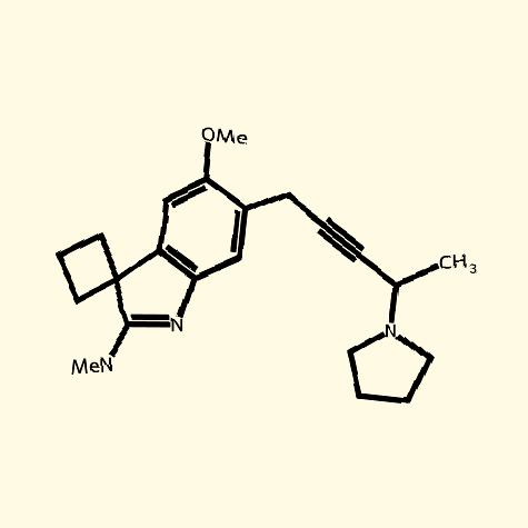 CNC1=Nc2cc(CC#CC(C)N3CCCC3)c(OC)cc2C12CCC2